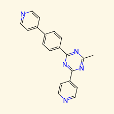 Cc1nc(-c2ccncc2)nc(-c2ccc(-c3ccncc3)cc2)n1